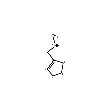 CNCC1=CCCC1